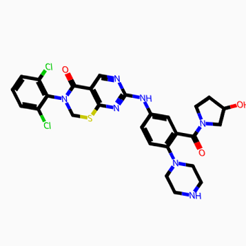 O=C(c1cc(Nc2ncc3c(n2)SCN(c2c(Cl)cccc2Cl)C3=O)ccc1N1CCNCC1)N1CCC(O)C1